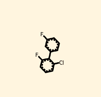 Fc1cccc(-c2c(F)cccc2Cl)c1